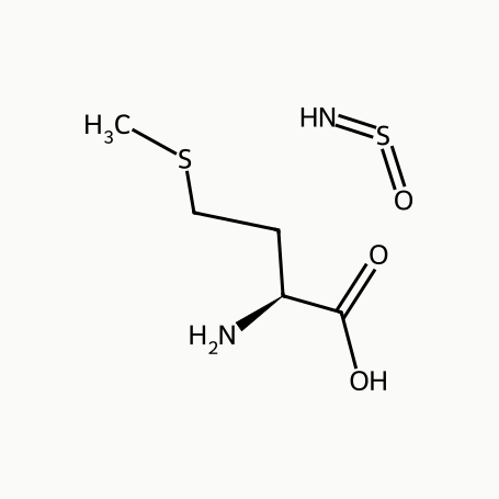 CSCC[C@H](N)C(=O)O.N=S=O